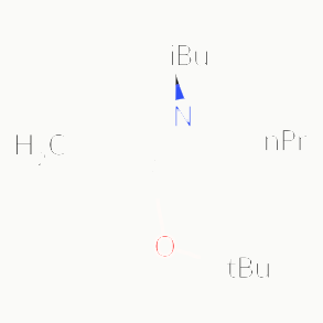 C=C(OC(C)(C)C)N(CCC)[C@H](C)CC